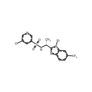 CCn1c([C@@H](C)NS(=O)(=O)c2cncc(Cl)c2)nc2ccc(C(F)(F)F)cc21